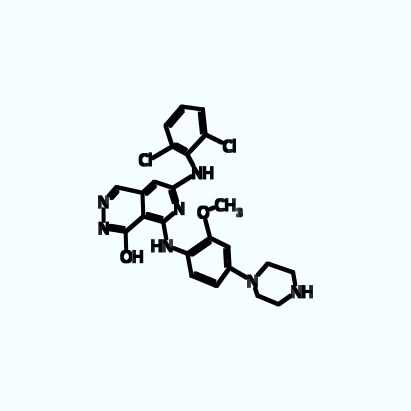 COc1cc(N2CCNCC2)ccc1Nc1nc(Nc2c(Cl)cccc2Cl)cc2cnnc(O)c12